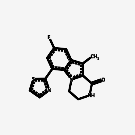 Cc1c2n(c3c(-c4nccs4)cc(F)cc13)CCNC2=O